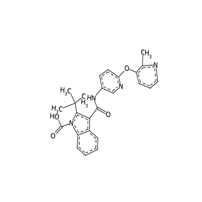 Cc1ncccc1Oc1ccc(NC(=O)c2c(C(C)(C)C)n(C(=O)O)c3ccccc23)cn1